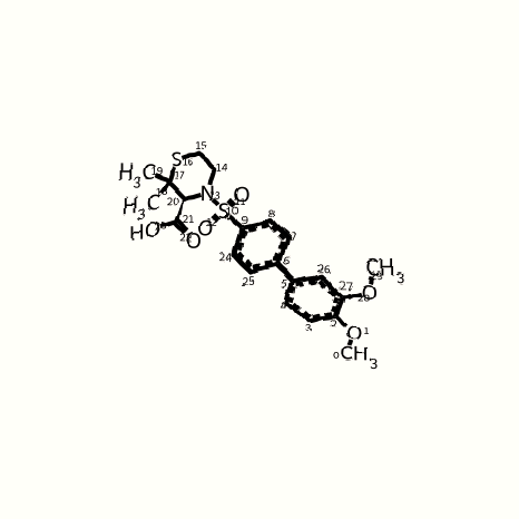 COc1ccc(-c2ccc(S(=O)(=O)N3CCSC(C)(C)[C@@H]3C(=O)O)cc2)cc1OC